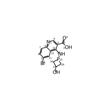 O=C(O)c1cnc2ccc(Br)cc2c1NP1CC(O)C1